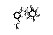 O=S(=O)(Nc1cccc(OCBr)c1)c1c(F)c(F)c(F)c(F)c1F